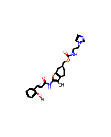 CCOc1ccccc1/C=C/C(=O)Nc1sc2c(c1C#N)CCC(COC(=O)NCCn1ccnc1)C2